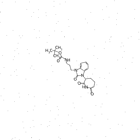 CC(C)(C)OC(=O)NCCCn1c(=O)n(C2CCCC(=O)NC2=O)c2ccccc21